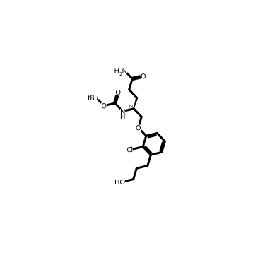 CC(C)(C)OC(=O)N[C@@H](CCC(N)=O)COc1cccc(CCCO)c1Cl